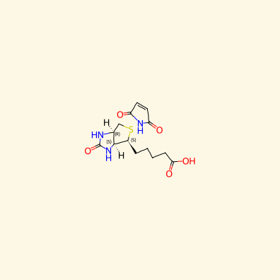 O=C(O)CCCC[C@@H]1SC[C@@H]2NC(=O)N[C@@H]21.O=C1C=CC(=O)N1